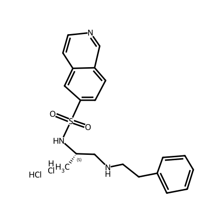 C[C@@H](CNCCc1ccccc1)NS(=O)(=O)c1ccc2cnccc2c1.Cl.Cl